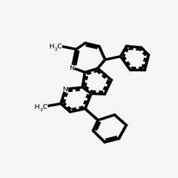 CC1=Nc2c(ccc3c(C4=CC=CCC4)cc(C)nc23)C(c2ccccc2)C=C1